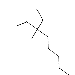 [CH2]CC(C)(CC)CCCCC